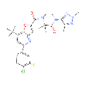 Cc1nn(C)nc1N1CCN(C(=O)c2cc3nc(-c4ccc(Cl)c(F)c4)cc(C(C)(C)C)c3o2)C(C)(C)C1=O